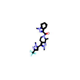 CC1c2nn(C)c(-c3cc(C(F)(F)F)nn3C)c2CCN1C(=O)c1nn(C)c2ccccc12